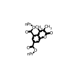 CCCOC(=O)c1cc(C(=O)OCCC)c2c(C)c(C)c(=O)oc2c1